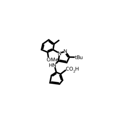 COc1cccc(C)c1-n1nc(C(C)(C)C)cc1Nc1ccccc1C(=O)O